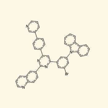 Brc1cc(-c2cc(-c3ccc(-c4cccnc4)cc3)nc(-c3ccc4ncccc4c3)n2)cc(-n2c3ccccc3c3ccccc32)c1